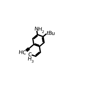 C#Cc1cc(N)c(C(C)(C)C)cc1/C=C\C